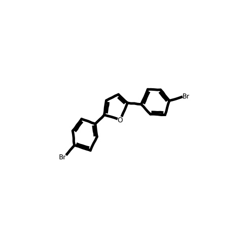 Brc1ccc(-c2ccc(-c3ccc(Br)cc3)o2)cc1